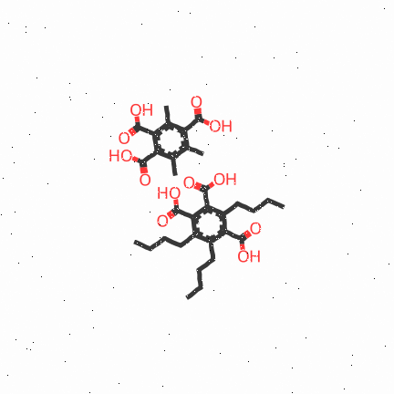 CCCCc1c(CCCC)c(C(=O)O)c(C(=O)O)c(CCCC)c1C(=O)O.Cc1c(C)c(C(=O)O)c(C(=O)O)c(C)c1C(=O)O